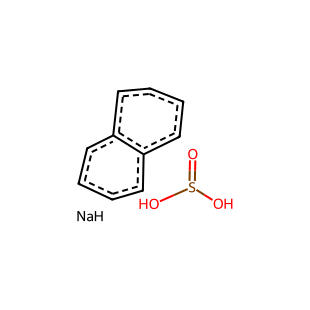 O=S(O)O.[NaH].c1ccc2ccccc2c1